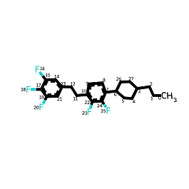 CCCC1CCC(c2ccc(CCc3cc(F)c(F)c(F)c3)c(F)c2F)CC1